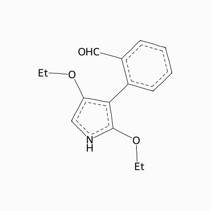 CCOc1c[nH]c(OCC)c1-c1ccccc1C=O